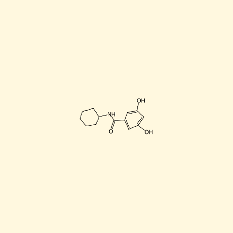 O=C(NC1CCCCC1)c1cc(O)cc(O)c1